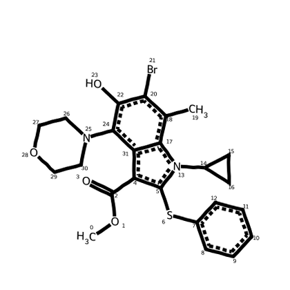 COC(=O)c1c(Sc2ccccc2)n(C2CC2)c2c(C)c(Br)c(O)c(N3CCOCC3)c12